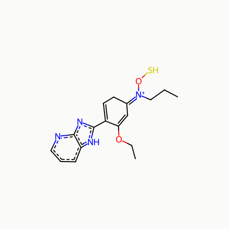 CCC[N+](OS)=C1C=C(OCC)C(c2nc3ncccc3[nH]2)=CC1